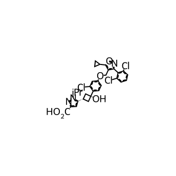 CC(C)n1nc(C(=O)O)cc1[C@H]1C[C@](O)(c2ccc(OCc3c(-c4c(Cl)cccc4Cl)noc3C3CC3)cc2Cl)C1